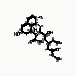 CC[C@H](C)C(=O)O[C@H]1C[C@H](O)C=C2C=C[C@H](C)[C@H](CC[C@@H](O)C[C@H](CC(=O)OC(C)(C)C)OC(C)(C)C)[C@H]21